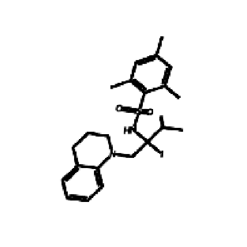 Cc1cc(C)c(S(=O)(=O)NC(I)(CN2CCCc3ccccc32)C(C)C)c(C)c1